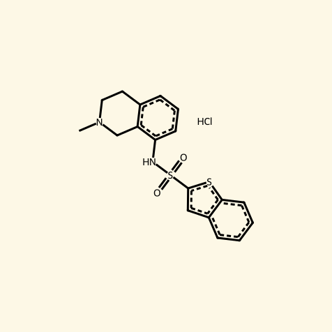 CN1CCc2cccc(NS(=O)(=O)c3cc4ccccc4s3)c2C1.Cl